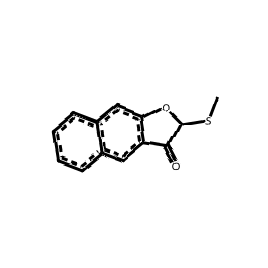 CSC1Oc2cc3ccccc3cc2C1=O